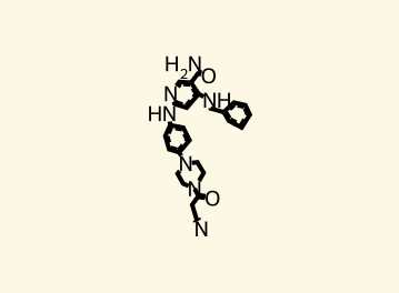 N#CCC(=O)N1CCN(c2ccc(Nc3cc(NCc4ccccc4)c(C(N)=O)cn3)cc2)CC1